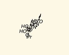 CC#CC(=O)Nc1ncnc2c1ncn2[C@@H]1O[C@H](COC(C)C)[C@@H](O)[C@H]1O